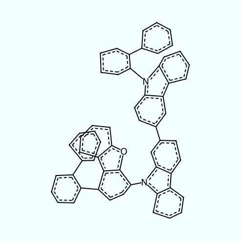 c1ccc(-c2ccccc2-c2ccc(-n3c4ccccc4c4ccc(-c5ccc6c(c5)c5ccccc5n6-c5ccccc5-c5ccccc5)cc43)c3oc4ccccc4c23)cc1